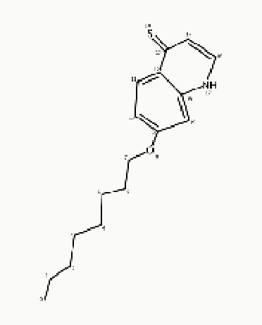 CCCCCCCCOc1ccc2c(=S)cc[nH]c2c1